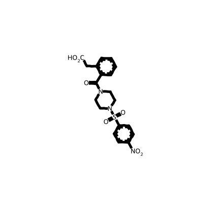 O=C(O)Cc1ccccc1C(=O)N1CCN(S(=O)(=O)c2ccc([N+](=O)[O-])cc2)CC1